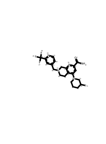 NC(=O)c1cc(N2CCCC(F)C2)c2c(n1)CN(Cc1ccnc(C(F)(F)F)c1)CC2